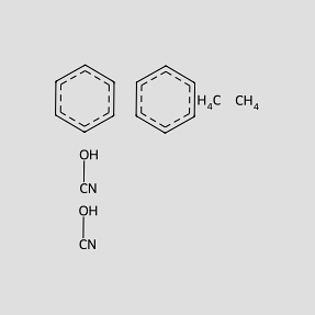 C.C.N#CO.N#CO.c1ccccc1.c1ccccc1